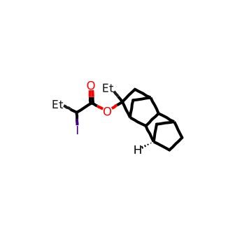 CCC(I)C(=O)OC1(CC)CC2CC1C1C2C2CC[C@@H]1C2